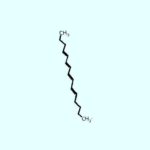 [CH2]CCCC=CC=CC=CC=CCCC